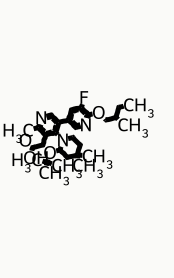 CCC(C)COc1ncc(-c2cnc(C)c(CC(=O)O)c2N2CCC(C)(C)CC2OC(C)(C)C)cc1F